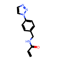 C=CC(=O)NCc1ccc(-n2ccnn2)cc1